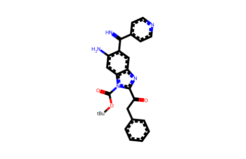 CC(C)(C)OC(=O)n1c(C(=O)Cc2ccccc2)nc2cc(C(=N)c3ccncc3)c(N)cc21